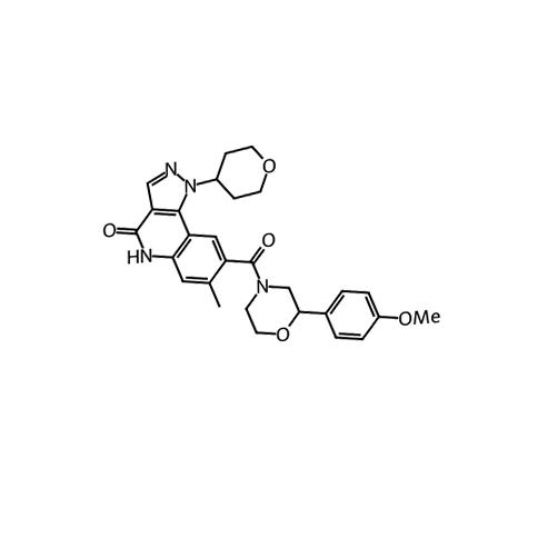 COc1ccc(C2CN(C(=O)c3cc4c(cc3C)[nH]c(=O)c3cnn(C5CCOCC5)c34)CCO2)cc1